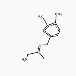 COc1ccc(C/C=C(\F)CN)cc1C(F)(F)F